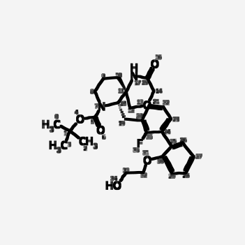 CC(C)(C)OC(=O)N1CCC[C@@]2(COCC(=O)N2)[C@@H]1Cc1cccc(-c2ccccc2OCCO)c1F